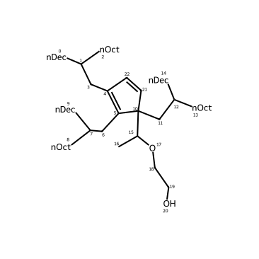 CCCCCCCCCCC(CCCCCCCC)CC1=C(CC(CCCCCCCC)CCCCCCCCCC)C(CC(CCCCCCCC)CCCCCCCCCC)(C(C)OCCO)C=C1